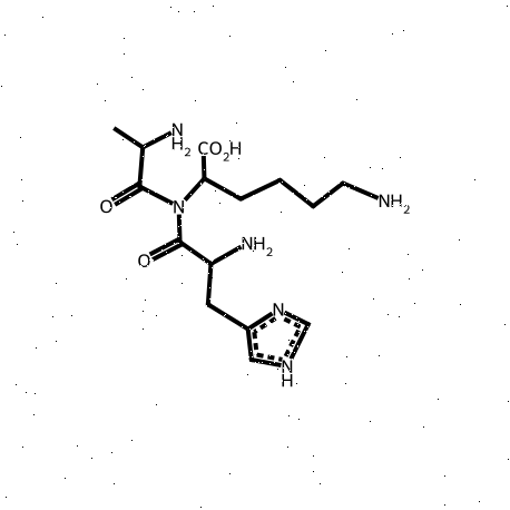 CC(N)C(=O)N(C(=O)C(N)Cc1c[nH]cn1)C(CCCCN)C(=O)O